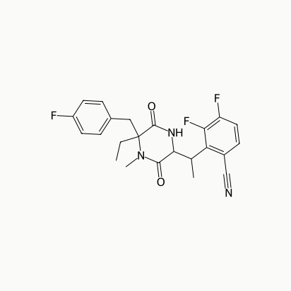 CCC1(Cc2ccc(F)cc2)C(=O)NC(C(C)c2c(C#N)ccc(F)c2F)C(=O)N1C